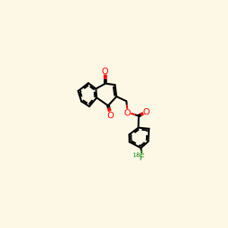 O=C(OCC1=CC(=O)c2ccccc2C1=O)c1ccc([18F])cc1